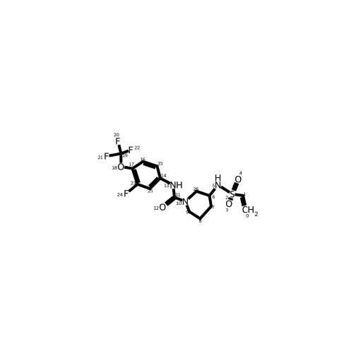 C=CS(=O)(=O)NC1CCCN(C(=O)Nc2ccc(OC(F)(F)F)c(F)c2)C1